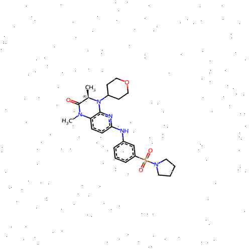 C[C@@H]1C(=O)N(C)c2ccc(Nc3cccc(S(=O)(=O)N4CCCC4)c3)nc2N1C1CCOCC1